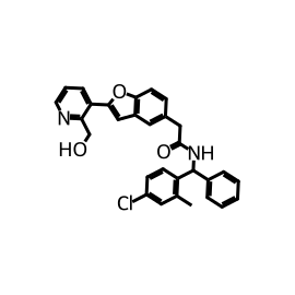 Cc1cc(Cl)ccc1C(NC(=O)Cc1ccc2oc(-c3cccnc3CO)cc2c1)c1ccccc1